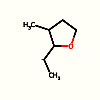 C[CH]C1OCCC1C